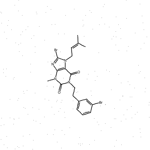 CC(C)=CCn1c(Br)nc2c1c(=O)n(CCc1cccc(Br)c1)c(=O)n2C